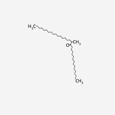 CCCCCCCCCCCCCCCC[C](C)C(=O)CCCCCCCCCCCCCCC